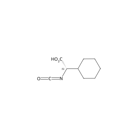 O=C=N[C@H](C(=O)O)C1CCCCC1